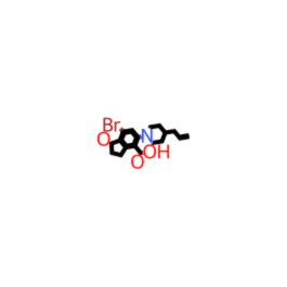 C=CCC1CCN(c2cc(Br)c3c(c2C(=O)O)CCC3=O)CC1